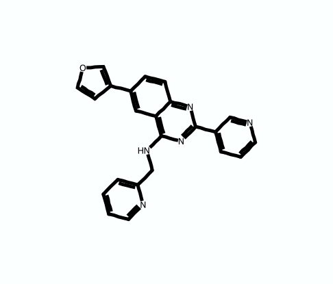 c1ccc(CNc2nc(-c3cccnc3)nc3ccc(-c4ccoc4)cc23)nc1